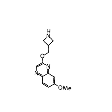 COc1ccc2ncc(OCC3CNC3)nc2c1